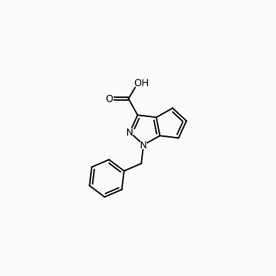 O=C(O)c1nn(Cc2ccccc2)c2c1C=C=C2